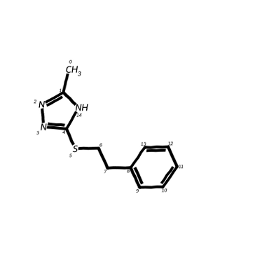 Cc1nnc(SCCc2ccccc2)[nH]1